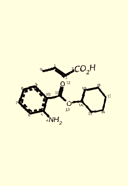 CC=CC(=O)O.Nc1ccccc1C(=O)OC1CCCCC1